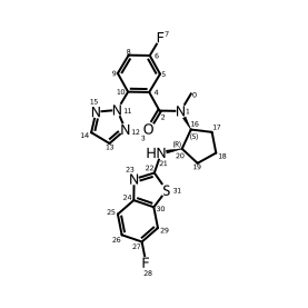 CN(C(=O)c1cc(F)ccc1-n1nccn1)[C@H]1CCC[C@H]1Nc1nc2ccc(F)cc2s1